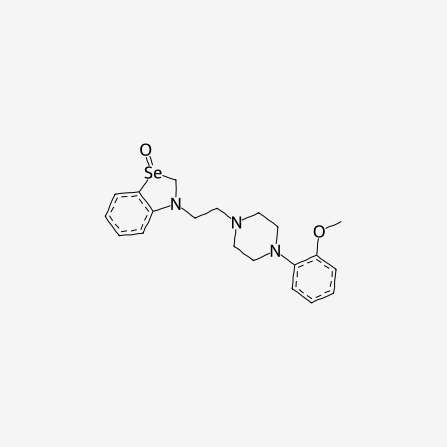 COc1ccccc1N1CCN(CCN2C[Se](=O)c3ccccc32)CC1